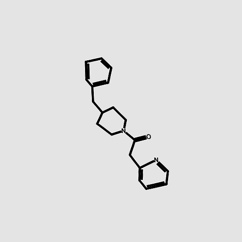 O=C(Cc1ccccn1)N1CCC(Cc2ccccc2)CC1